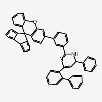 C1=C(c2ccccc2-c2ccccc2)N=C(c2cccc(-c3ccc4c(c3)Oc3ccccc3C43c4ccccc4-c4ccccc43)c2)NC1c1ccccc1